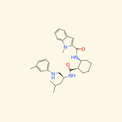 Cc1cccc(NC[C@H](CC(C)C)NC(=O)[C@@H]2CCCC[C@@H]2NC(=O)c2cc3ccccc3n2C)c1